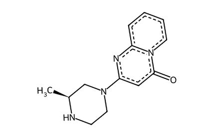 C[C@H]1CN(c2cc(=O)n3ccccc3n2)CCN1